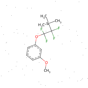 COc1cccc(OC(F)(F)C(F)(F)[Si](C)(C)C)c1